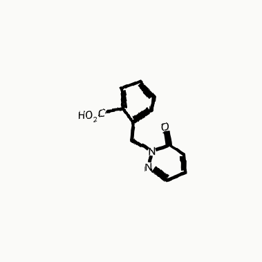 O=C(O)c1ccccc1Cn1ncccc1=O